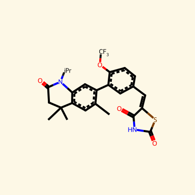 Cc1cc2c(cc1-c1cc(C=C3SC(=O)NC3=O)ccc1OC(F)(F)F)N(C(C)C)C(=O)CC2(C)C